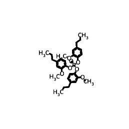 CCCc1ccc(OP(=O)(Oc2ccc(CCC)cc2OC)Oc2ccc(CCC)cc2OC)c(OC)c1